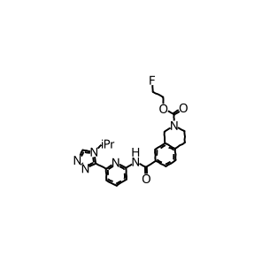 CC(C)n1cnnc1-c1cccc(NC(=O)c2ccc3c(c2)CN(C(=O)OCCF)CC3)n1